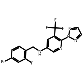 Fc1cc(Br)ccc1CNc1cnc(-n2nccn2)c(C(F)(F)F)c1